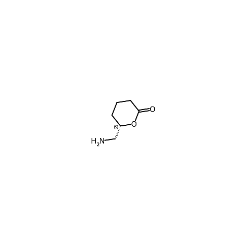 NC[C@@H]1CCCC(=O)O1